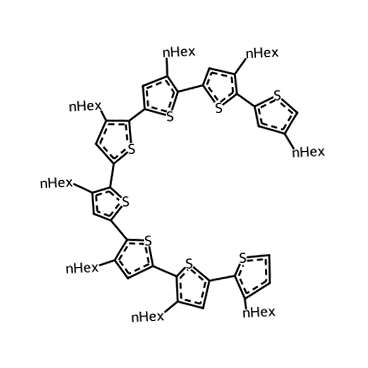 CCCCCCc1csc(-c2sc(-c3sc(-c4sc(-c5sc(-c6sc(-c7sc(-c8sccc8CCCCCC)cc7CCCCCC)cc6CCCCCC)cc5CCCCCC)cc4CCCCCC)cc3CCCCCC)cc2CCCCCC)c1